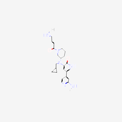 CNCC=CC(=O)N1CCC[C@@H](N(CC2CC2)c2cc(-c3ccnc(NC)c3)c[nH]c2=O)C1